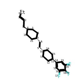 CC/C=C/C[C@H]1CC[C@H](CC[C@H]2CC[C@H](c3cc(F)c(F)c(F)c3)CC2)CC1